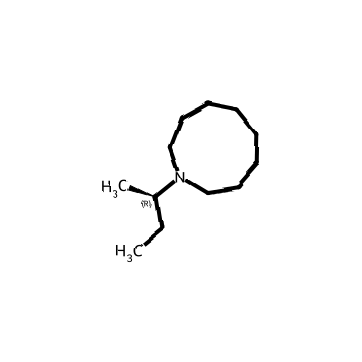 CC[C@@H](C)N1CCCCCCCC1